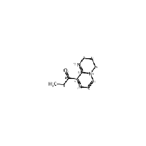 CCC(=O)C1=NC=CN2CCCN=C12